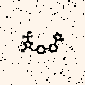 CCCC(F)(F)c1nc(CC)n(Cc2ccc(-c3cccc(-c4nnn[nH]4)c3)cc2)n1